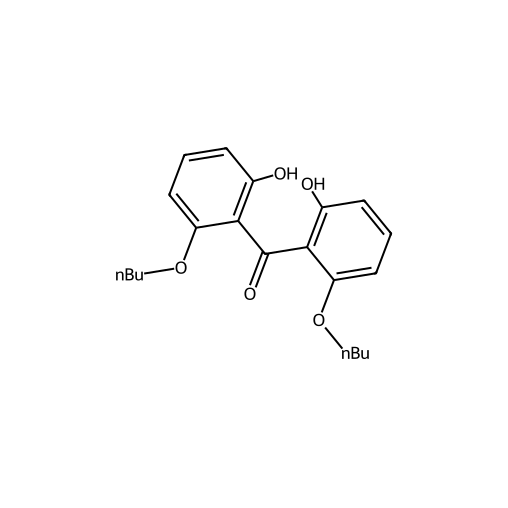 CCCCOc1cccc(O)c1C(=O)c1c(O)cccc1OCCCC